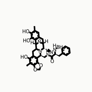 BN[C@@H](Cc1ccccc1)C(=O)NC[C@H]1c2c(c(O)c(C)c3c2OCO3)CC2[C@@H]3c4c(cc(C)c(O)c4O)C[C@H]([C@H](C#N)N21)N3C